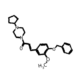 COc1cc(C=CC(=O)N2CCN(C3CCCC3)CC2)ccc1OCc1ccccc1